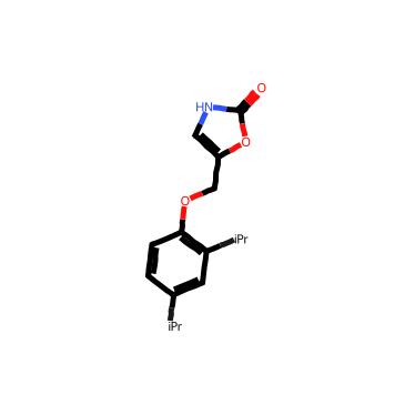 CC(C)c1ccc(OCc2c[nH]c(=O)o2)c(C(C)C)c1